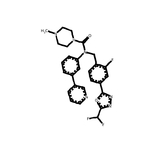 CN1CCN(C(=O)N(Cc2ccc(-c3nnc(C(F)F)o3)cc2F)c2cccc(-c3cccnc3)c2)CC1